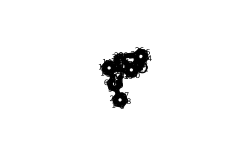 c1ccc(-c2ccc3[n+](c2)C[C@@]2(c4ccccc4-3)c3ccc4oc5cccc6c7ccc[n+]2c7c3c4c56)cc1